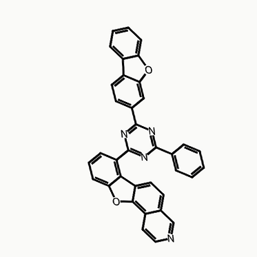 c1ccc(-c2nc(-c3ccc4c(c3)oc3ccccc34)nc(-c3cccc4oc5c6ccncc6ccc5c34)n2)cc1